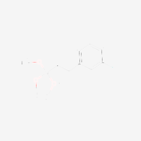 CC(C)O[Si](CCc1cccc(F)c1)(OC(C)C)OC(C)C